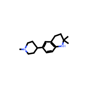 CN1CCC(c2ccc3c(c2)CCC(C)(C)N3)CC1